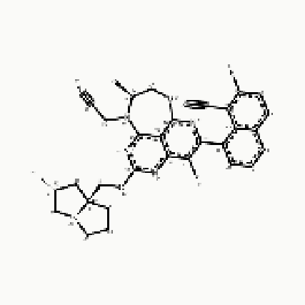 C#Cc1c(F)ccc2cccc(-c3nc4c5c(nc(OC[C@@]67CCCN6C[C@H](F)C7)nc5c3F)N(CC#N)[C@@H](C)CO4)c12